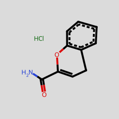 Cl.NC(=O)C1=CCc2ccccc2O1